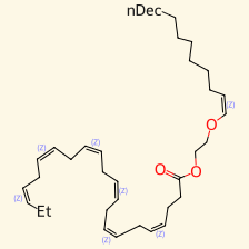 CC/C=C\C/C=C\C/C=C\C/C=C\C/C=C\C/C=C\CCC(=O)OCCO/C=C\CCCCCCCCCCCCCCCC